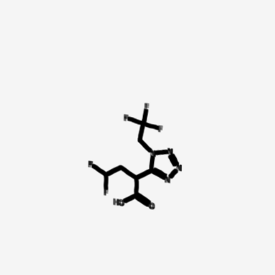 O=C(O)C(CC(F)F)c1nnnn1CC(F)(F)F